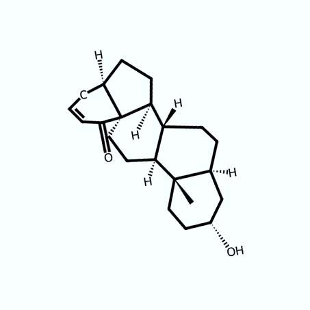 C[C@]12CC[C@@H](O)C[C@@H]1CC[C@@H]1[C@@H]2CC[C@]23C(=O)C=CC[C@H]2CC[C@@H]13